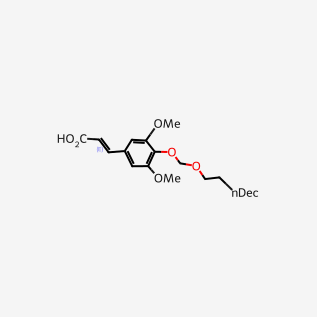 CCCCCCCCCCCCOCOc1c(OC)cc(/C=C/C(=O)O)cc1OC